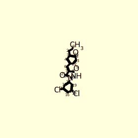 C[C@H]1Cc2cc(/C=C3\C(=O)NN(c4cc(Cl)cc(Cl)c4)C3=O)ccc2O1